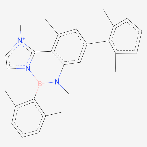 Cc1cccc(C)c1B1N(C)c2cc(-c3c(C)cccc3C)cc(C)c2-c2n1cc[n+]2C